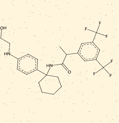 CC(C(=O)NC1(c2ccc(NCCO)cc2)CCCCC1)c1cc(C(F)(F)F)cc(C(F)(F)F)c1